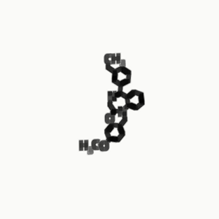 CCc1cccc(C2=NCC(=O)N(Cc3ccc(OC)cc3)c3ccccc32)c1